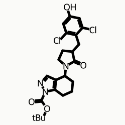 CC(C)(C)OC(=O)n1ncc2c1CCCC2N1CCC(Cc2c(Cl)cc(O)cc2Cl)C1=O